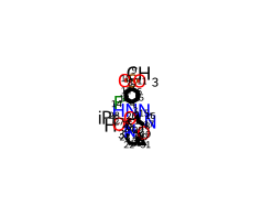 Cc1c(Nc2ccc(S(C)(=O)=O)cc2F)ncnc1OCC12CCN(C(=O)OC(C)C)CC1C2